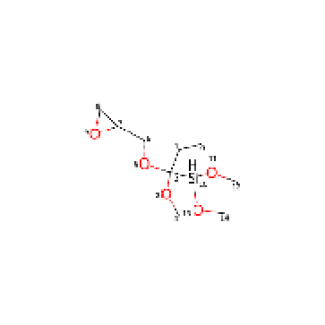 CCC(OC)(OCC1CO1)[SiH](OC)OC